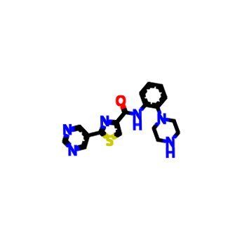 O=C(Nc1ccccc1N1CCNCC1)c1csc(-c2cncnc2)n1